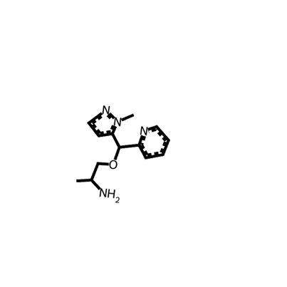 CC(N)COC(c1ccccn1)c1ccnn1C